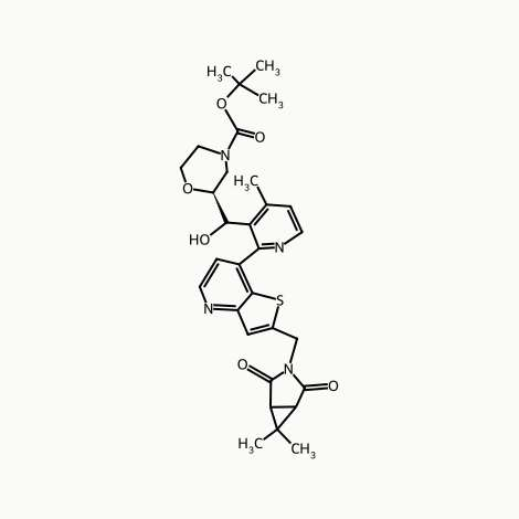 Cc1ccnc(-c2ccnc3cc(CN4C(=O)C5C(C4=O)C5(C)C)sc23)c1C(O)[C@@H]1CN(C(=O)OC(C)(C)C)CCO1